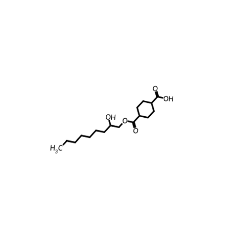 CCCCCCCC(O)COC(=O)C1CCC(C(=O)O)CC1